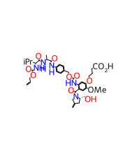 C=CCOC(=O)NC(C(=O)NC(C)C(=O)Nc1ccc(COC(=O)Nc2cc(OCCCC(=O)O)c(OC)cc2C(=O)N2CC(=C)C[C@H]2CO)cc1)C(C)C